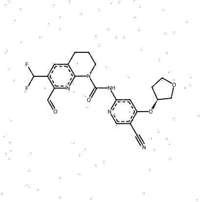 N#Cc1cnc(NC(=O)N2CCCc3cc(C(F)F)c(C=O)nc32)cc1O[C@H]1CCOC1